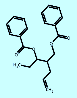 C=CCC(COC(=O)c1ccccc1)C(CC)OC(=O)c1ccccc1